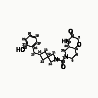 O=C1COC2CCN(C(=O)N3CC4(CC(Cc5ccccc5O)C4)C3)CC2N1